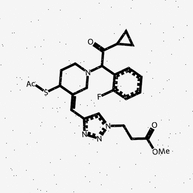 COC(=O)CCn1cc(/C=C2\CN(C(C(=O)C3CC3)c3ccccc3F)CCC2SC(C)=O)nn1